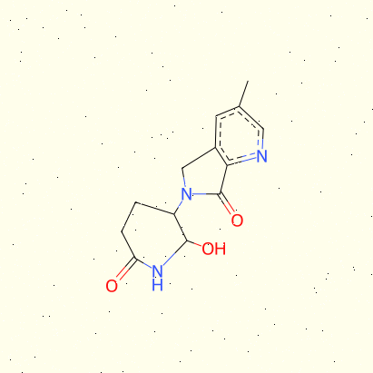 Cc1cnc2c(c1)CN(C1CCC(=O)NC1O)C2=O